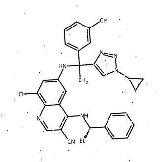 BC(Nc1cc(Cl)c2ncc(C#N)c(N[C@H](CC)c3ccccc3)c2c1)(c1cccc(C#N)c1)c1cn(C2CC2)nn1